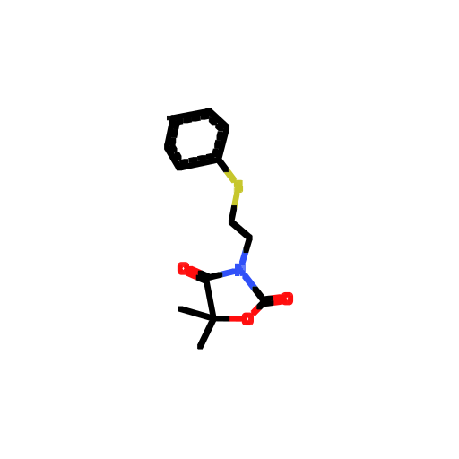 CC1(C)OC(=O)N(CCSc2cc[c]cc2)C1=O